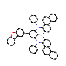 c1ccc(N2c3cc(-c4ccc5oc6ccccc6c5c4)cc4c3B(c3ccc5c(ccc6ccccc65)c32)c2ccc3c(ccc5ccccc53)c2N4c2ccccc2)cc1